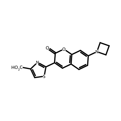 O=C(O)c1csc(-c2cc3ccc(N4CCC4)cc3oc2=O)n1